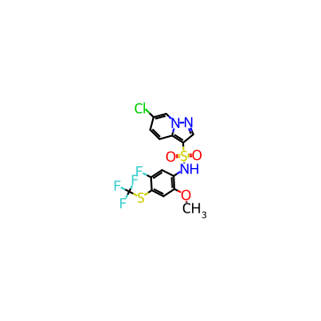 COc1cc(SC(F)(F)F)c(F)cc1NS(=O)(=O)c1cnn2cc(Cl)ccc12